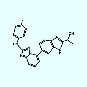 Cc1ccc(Nc2nc3cccc(-c4ccc5nc(C(C)O)[nH]c5c4)n3n2)cc1